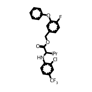 CC(C)C(Nc1ccc(C(F)(F)F)cc1Cl)C(=O)OCc1ccc(F)c(Oc2ccccc2)c1